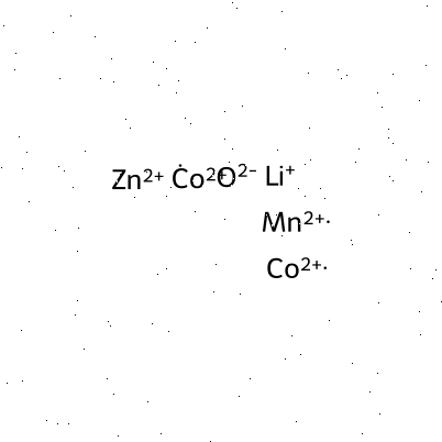 [Co+2].[Co+2].[Li+].[Mn+2].[O-2].[Zn+2]